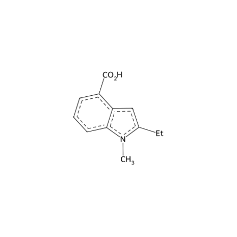 CCc1cc2c(C(=O)O)cccc2n1C